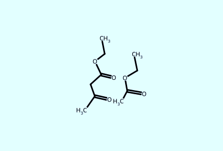 CCOC(=O)CC(C)=O.CCOC(C)=O